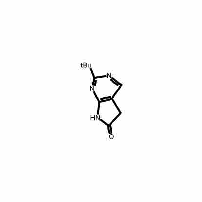 CC(C)(C)c1ncc2c(n1)NC(=O)C2